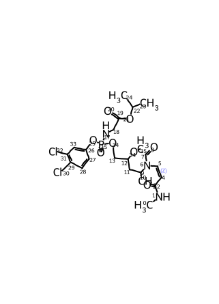 CNC(=O)/C=C\N(C=O)C(C)CC(COP(=O)(NCC(=O)OC(C)C)Oc1ccc(Cl)c(Cl)c1)OC